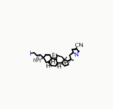 CCC[C@@]1(/C=C/CI)CC[C@@]2(CC)[C@H](CC[C@H]3[C@@H]4CC[C@H]([C@H](C)CC5C=C(C#N)C=N5)[C@@]4(C)CC[C@@H]32)C1